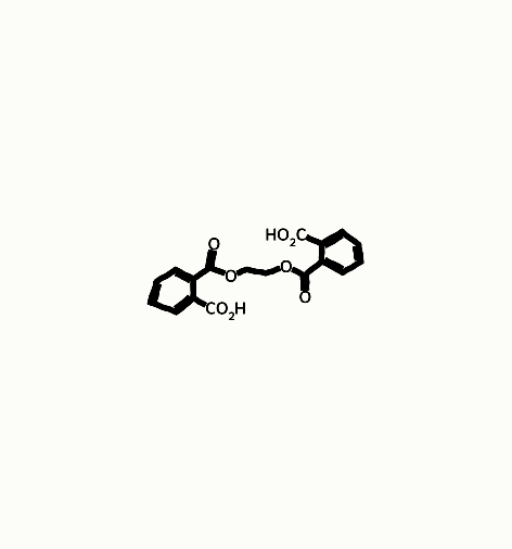 O=C(O)c1ccccc1C(=O)OCCOC(=O)c1ccccc1C(=O)O